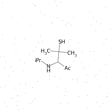 CC(=O)C(NC(C)C)C(C)(C)S